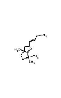 CCC=CCCC1(C)CCC(C)(C)C1=O